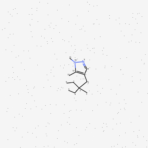 CCC(C)(CC)Cc1cnn(C)c1C